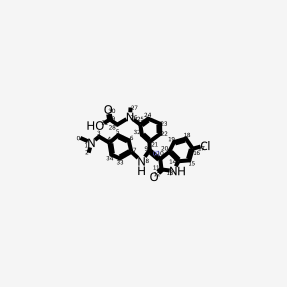 CN(C)Cc1ccc(N/C(=C2\C(=O)Nc3cc(Cl)ccc32)c2cccc(N(C)CC(=O)O)c2)cc1